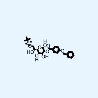 CC(C)(C)[Si](C)(C)OCC(O)[C@H]1O[C@H](O)[C@H](OC(=O)c2ccc(OCc3ccccc3)cc2)[C@@H](O)[C@H]1O